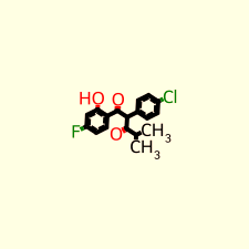 CC(C)C(=O)C(C(=O)c1ccc(F)cc1O)c1ccc(Cl)cc1